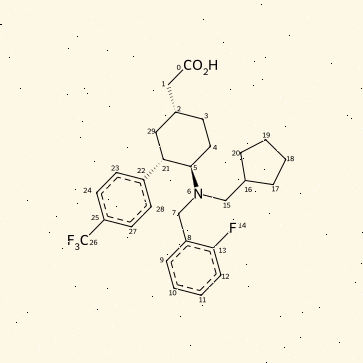 O=C(O)C[C@@H]1CC[C@@H](N(Cc2ccccc2F)CC2CCCC2)[C@H](c2ccc(C(F)(F)F)cc2)C1